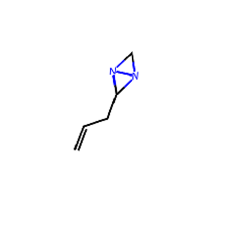 C=CCC1N2CN12